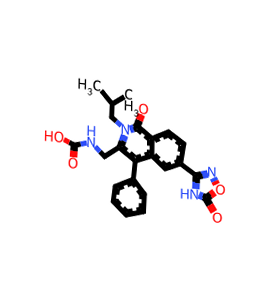 CC(C)Cn1c(CNC(=O)O)c(-c2ccccc2)c2cc(-c3noc(=O)[nH]3)ccc2c1=O